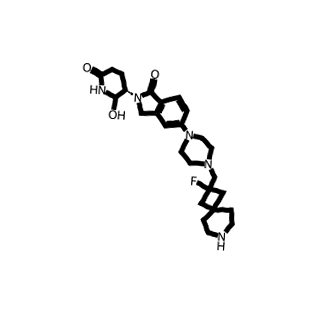 O=C1CC[C@H](N2Cc3cc(N4CCN(CC5(F)CC6(CCNCC6)C5)CC4)ccc3C2=O)C(O)N1